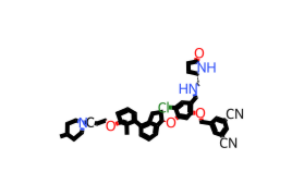 Cc1c(OCCCN2CCC(C)CC2)cccc1-c1cccc2c1CC[C@@H]2Oc1cc(OCc2cc(C#N)cc(C#N)c2)c(CNC[C@@H]2CCC(=O)N2)cc1Cl